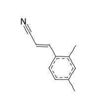 Cc1ccc(C=CC#N)c(C)c1